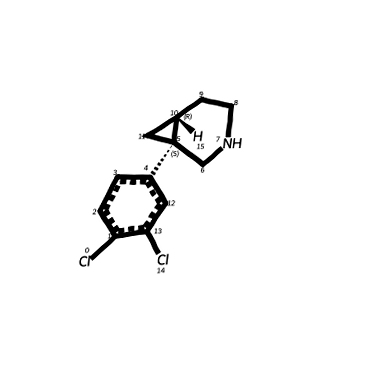 Clc1ccc([C@@]23CNCC[C@H]2C3)cc1Cl